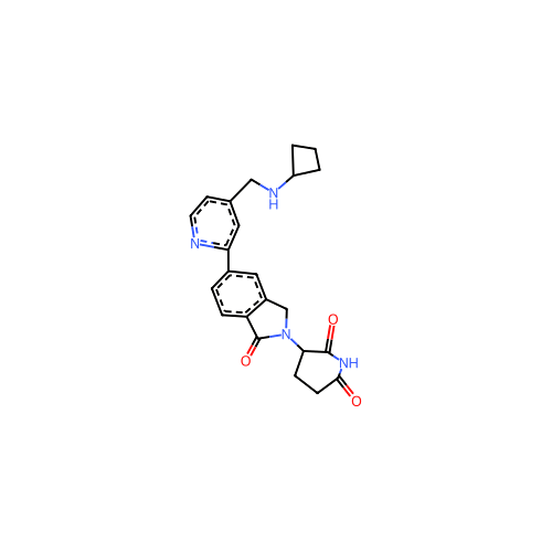 O=C1CCC(N2Cc3cc(-c4cc(CNC5CCC5)ccn4)ccc3C2=O)C(=O)N1